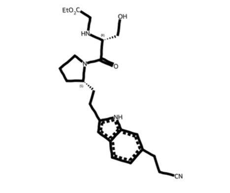 CCOC(=O)CN[C@H](CO)C(=O)N1CCC[C@H]1CCc1cc2ccc(CCC#N)cc2[nH]1